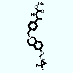 CC(NC(=O)OC(C)(C)C)c1ccc(CN2CCc3cc(OC[C@@H]4CC4(F)F)ccc3C2)cc1